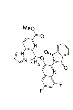 COC(=O)c1ccc(-n2cccn2)c([C@H](C)Oc2cc3cc(F)cc(F)c3nc2N2C(=O)c3ccccc3C2=O)n1